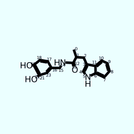 CC(Cc1c[nH]c2ccccc12)C(=O)NCc1ccc(O)c(O)c1